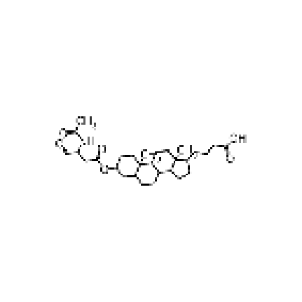 CC(=O)NC(C=O)CC(=O)OC1CCC2(C)C(CCC3C4CCC(CCCC(=O)O)C4(C)CCC32)C1